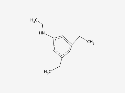 CCNc1cc(CC)cc(CC)c1